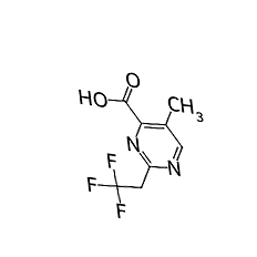 Cc1cnc(CC(F)(F)F)nc1C(=O)O